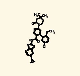 COc1ccc(Cl)cc1-c1cc(N2CCC(C)(C)CC2=O)ncc1C(=O)Nc1nc2ncc(C3CC3)nc2s1